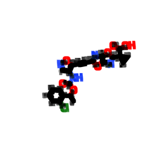 CC(OC(=O)Nc1cnoc1C#Cc1nc2oc(C3(C(=O)O)CC3)nc2o1)c1ccccc1Cl